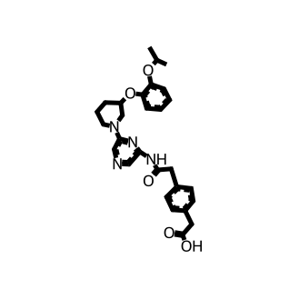 CC(C)Oc1ccccc1OC1CCCN(c2cncc(NC(=O)Cc3ccc(CC(=O)O)cc3)n2)C1